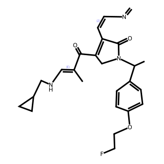 C=N/C=C\C1=C(C(=O)/C(C)=C/NCC2CC2)CN(C(C)c2ccc(OCCF)cc2)C1=O